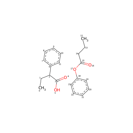 CCC(C(=O)O)c1ccccc1.CCCC(=O)Oc1ccccc1